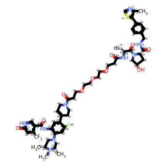 Cc1ncsc1-c1ccc(CNC(=O)[C@@H]2C[C@@H](O)CN2C(=O)[C@@H](NC(=O)CCOCCOCCOCCC(=O)N2CC=C(c3cc(NC(=O)c4c[nH]c(=O)cc4C(F)(F)F)c(N4C[C@@H](C)N(C)[C@@H](C)C4)cc3F)CC2)C(C)(C)C)cc1